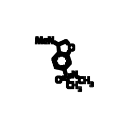 CN=S(C)(=O)c1ccc2c(c1)OCC2NC